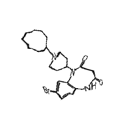 O=C1CC(=O)N(C2CCN(C3CCCCCCC3)CC2)c2cc(Br)ccc2N1